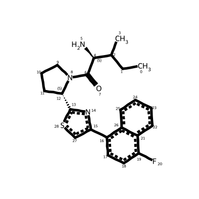 CCC(C)[C@H](N)C(=O)N1CCC[C@H]1c1nc(-c2ccc(F)c3ccccc23)cs1